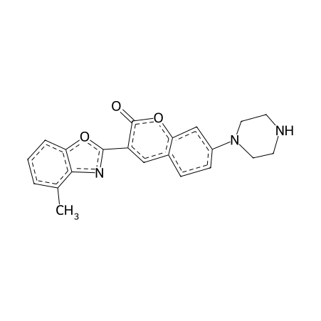 Cc1cccc2oc(-c3cc4ccc(N5CCNCC5)cc4oc3=O)nc12